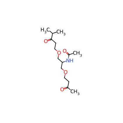 CC(=O)CCOCC(COCCC(=O)C(C)C)NC(C)=O